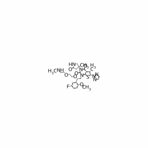 CNCCOCCO[C@@H](Cn1c(=O)n([C@@]2(C)CNC(=O)C2)c(=O)c2c(C)c(-n3nccn3)sc21)c1cc(F)ccc1OC